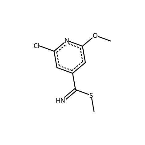 COc1cc(C(=N)SC)cc(Cl)n1